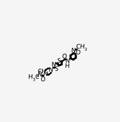 Cc1nc2cc(NC(=O)c3cc4sc(N5CCN(C(=O)N(C)C)CC5)nc4s3)ccc2o1